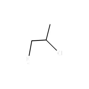 CC(Cl)[CH2][K]